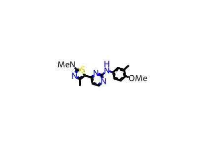 CNc1nc(C)c(-c2ccnc(Nc3ccc(OC)c(C)c3)n2)s1